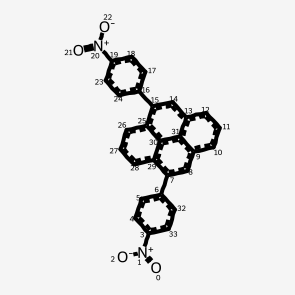 O=[N+]([O-])c1ccc(-c2cc3cccc4cc(-c5ccc([N+](=O)[O-])cc5)c5cccc2c5c34)cc1